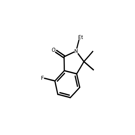 CCN1C(=O)c2c(F)cccc2C1(C)C